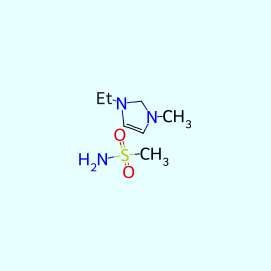 CCN1C=CN(C)C1.CS(N)(=O)=O